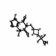 Cn1cnc2c1c(=O)n(CC1CC(C(C)(C)O)C1)c(=O)n2C